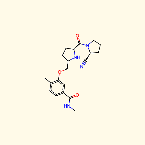 CNC(=O)c1ccc(C)c(OC[C@H]2CC[C@@H](C(=O)N3CCC[C@H]3C#N)N2)c1